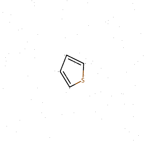 [c]1[c][c]s[c]1